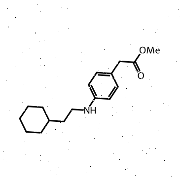 COC(=O)Cc1ccc(NCCC2CCCCC2)cc1